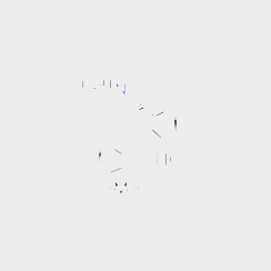 CCCCN1CC[C@@H](c2ccc(F)cc2)[C@H](COc2ccc(OC)cc2)C1.Cl